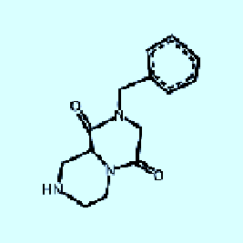 O=C1C2CNCCN2C(=O)CN1Cc1ccccc1